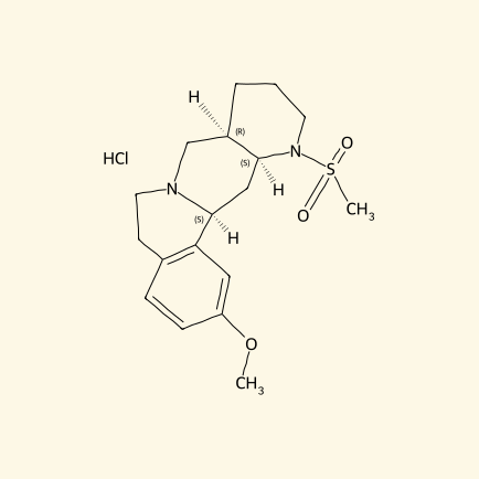 COc1ccc2c(c1)[C@@H]1C[C@H]3[C@H](CCCN3S(C)(=O)=O)CN1CC2.Cl